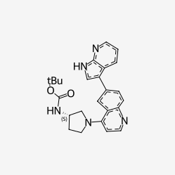 CC(C)(C)OC(=O)N[C@H]1CCN(c2ccnc3ccc(-c4c[nH]c5ncccc45)cc23)C1